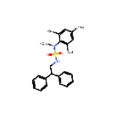 COc1cc(C(C)(C)C)c(N(C(=O)O)S(=O)(=O)NCC(c2ccccc2)c2ccccc2)c(C(C)(C)C)c1